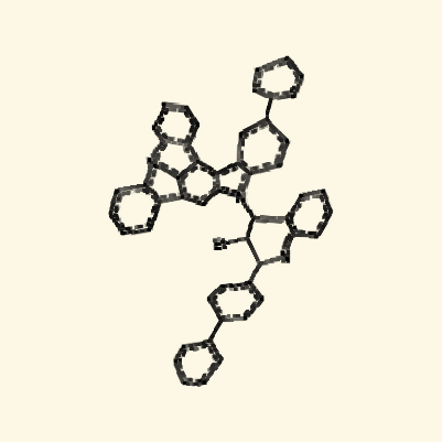 CCC1C(n2c3ccc(-c4ccccc4)cc3c3c4c5ccccc5n5c6ccccc6c(cc32)c45)=c2ccccc2=NC1c1ccc(-c2ccccc2)cc1